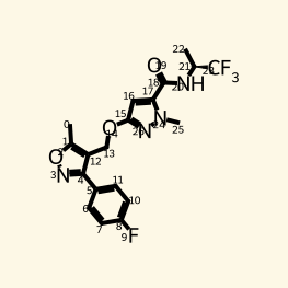 Cc1onc(-c2ccc(F)cc2)c1COc1cc(C(=O)N[C@@H](C)C(F)(F)F)n(C)n1